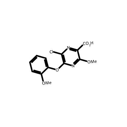 COc1ccccc1Oc1nc(OC)c(C(=O)O)nc1Cl